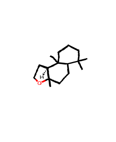 CC1(C)CCCC2(C)C1CCC1(C)OCC[C@H]12